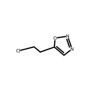 ClCCc1cnno1